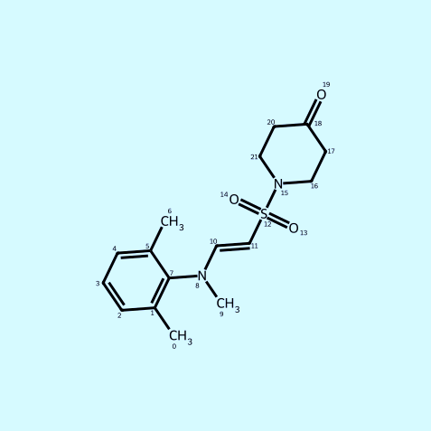 Cc1cccc(C)c1N(C)C=CS(=O)(=O)N1CCC(=O)CC1